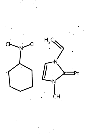 C=Cn1ccn(C)[c]1=[Pt].ClN(Cl)C1CCCCC1